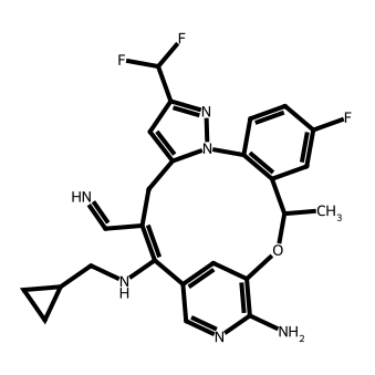 CC1Oc2cc(cnc2N)/C(NCC2CC2)=C(/C=N)Cc2cc(C(F)F)nn2-c2ccc(F)cc21